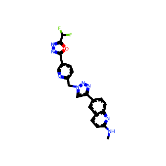 CNc1ccc2cc(-c3cn(Cc4ccc(-c5nnc(C(F)F)o5)cn4)nn3)ccc2n1